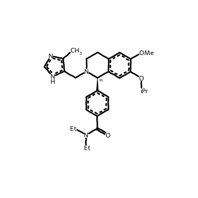 CCN(CC)C(=O)c1ccc([C@@H]2c3cc(OC(C)C)c(OC)cc3CCN2Cc2[nH]cnc2C)cc1